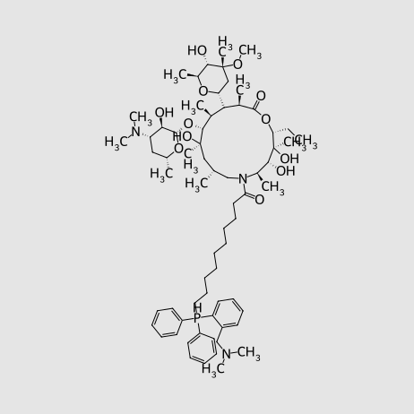 CC[C@H]1OC(=O)[C@H](C)C([C@H]2C[C@@](C)(OC)[C@@H](O)[C@H](C)O2)[C@H](C)[C@@H](O[C@@H]2O[C@H](C)C[C@H](N(C)C)[C@H]2O)[C@](C)(O)C[C@@H](C)CN(C(=O)CCCCCCCCC[PH](c2ccccc2)(c2ccccc2)c2ccccc2CN(C)C)[C@H](C)[C@@H](O)[C@]1(C)O